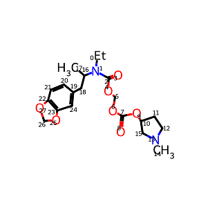 CCN(C(=O)OCOC(=O)OC1CCN(C)C1)C(C)Cc1ccc2c(c1)OCO2